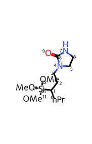 CCCC(CCN1CCNC1=O)[Si](OC)(OC)OC